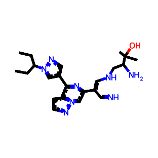 CCC(CC)n1cc(-c2nc(/C(C=N)=C/NCC(N)C(C)(C)O)cn3nccc23)cn1